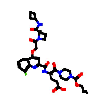 CCOC(=O)N1CCN(C(=O)[C@H](CCC(=O)O)NC(=O)c2cc(OCC(=O)N3CC[C@H]3C(=O)NC3CCC3)c3cccc(F)c3n2)CC1